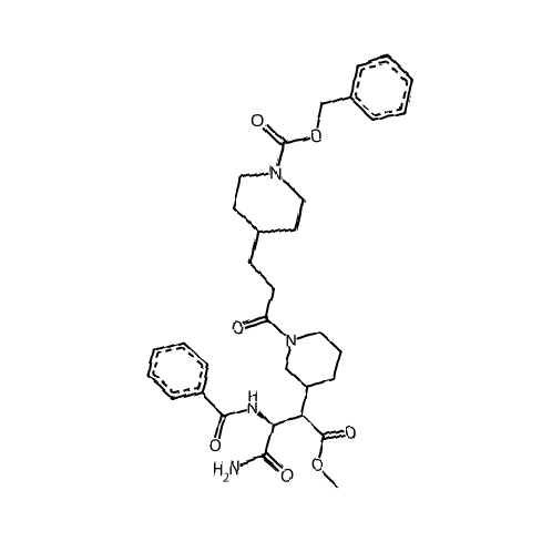 COC(=O)C(C1CCCN(C(=O)CCC2CCN(C(=O)OCc3ccccc3)CC2)C1)[C@H](NC(=O)c1ccccc1)C(N)=O